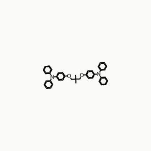 CC(C)(COc1ccc(N(c2ccccc2)c2ccccc2)cc1)COc1ccc(N(c2ccccc2)c2ccccc2)cc1